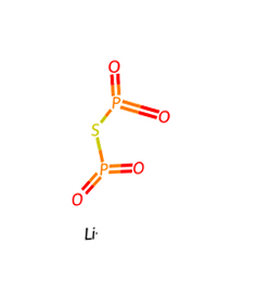 O=P(=O)SP(=O)=O.[Li]